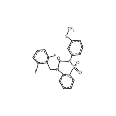 O=C1N(Cc2c(F)cccc2F)c2ccccc2S(=O)(=O)N1c1cccc(SC(F)(F)F)c1